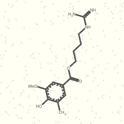 COc1cc(C(=O)OCCCCNC(=N)N)cc(C)c1O